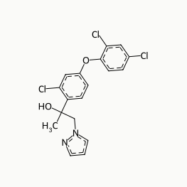 CC(O)(Cn1cccn1)c1ccc(Oc2ccc(Cl)cc2Cl)cc1Cl